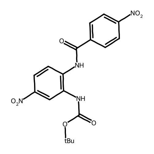 CC(C)(C)OC(=O)Nc1cc([N+](=O)[O-])ccc1NC(=O)c1ccc([N+](=O)[O-])cc1